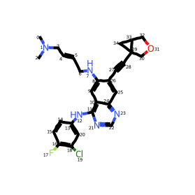 CN(C)C/C=C/CNc1cc2c(Nc3ccc(F)c(Cl)c3)ncnc2cc1C#CC12COCC1C2